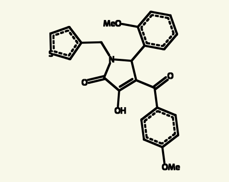 COc1ccc(C(=O)C2=C(O)C(=O)N(Cc3ccsc3)C2c2ccccc2OC)cc1